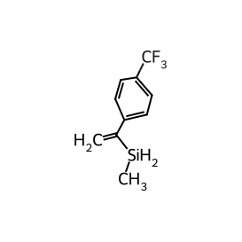 C=C([SiH2]C)c1ccc(C(F)(F)F)cc1